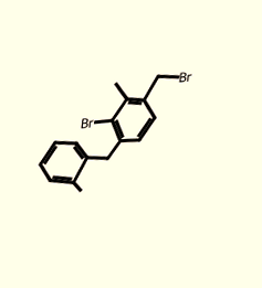 Cc1ccccc1Cc1ccc(CBr)c(C)c1Br